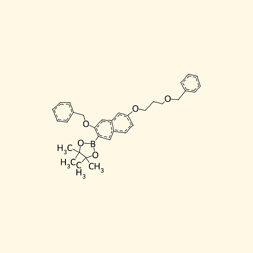 CC1(C)OB(c2cc3ccc(OCCCOCc4ccccc4)cc3cc2OCc2ccccc2)OC1(C)C